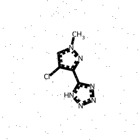 Cn1cc(Cl)c(-c2nnn[nH]2)n1